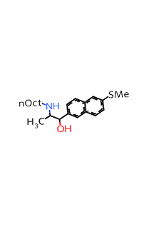 CCCCCCCCNC(C)C(O)c1ccc2cc(SC)ccc2c1